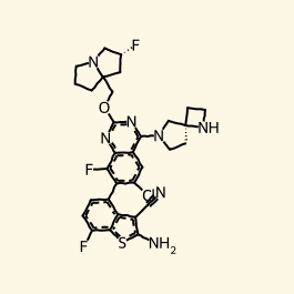 N#Cc1c(N)sc2c(F)ccc(-c3c(Cl)cc4c(N5CC[C@@]6(CCN6)C5)nc(OCC56CCCN5C[C@H](F)C6)nc4c3F)c12